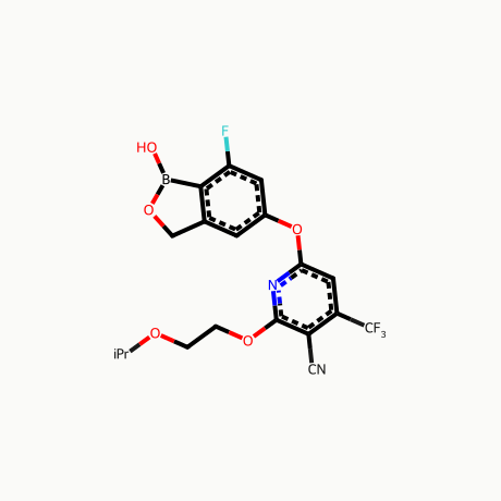 CC(C)OCCOc1nc(Oc2cc(F)c3c(c2)COB3O)cc(C(F)(F)F)c1C#N